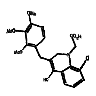 COc1ccc(CC2=C(O)c3cccc(Cl)c3N(CC(=O)O)C2)c(OC)c1OC